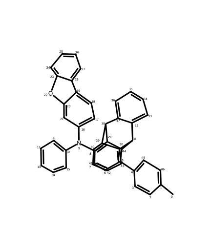 Cc1ccc(-c2ccc(N(c3ccccc3)c3ccc4c(c3)oc3ccccc34)c3c2C2c4ccccc4C3c3ccccc32)cc1